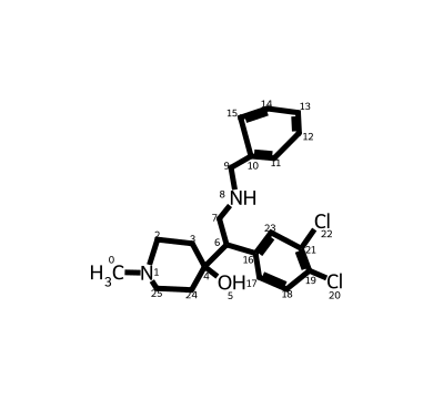 CN1CCC(O)(C(CNCc2ccccc2)c2ccc(Cl)c(Cl)c2)CC1